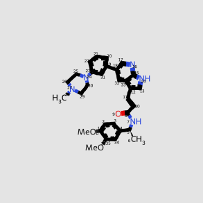 COc1ccc([C@@H](C)NC(=O)/C=C/c2c[nH]c3ncc(-c4cccc(N5CCN(C)CC5)c4)cc23)cc1OC